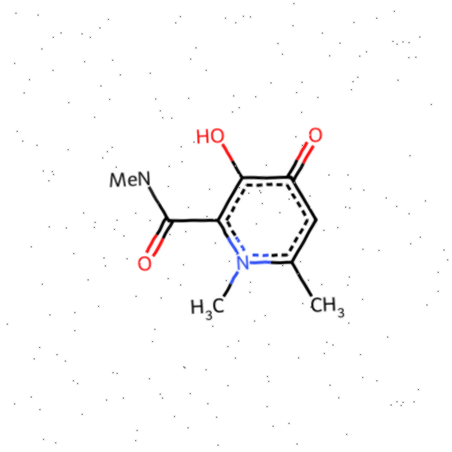 CNC(=O)c1c(O)c(=O)cc(C)n1C